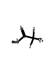 COC(=O)C(F)(F)C(F)(F)F